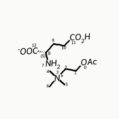 CC(=O)OCC[N+](C)(C)C.N[C@@H](CCC(=O)O)C(=O)[O-]